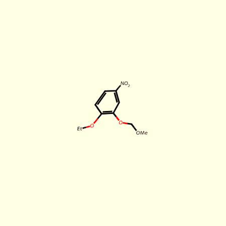 [CH2]COc1ccc([N+](=O)[O-])cc1OCOC